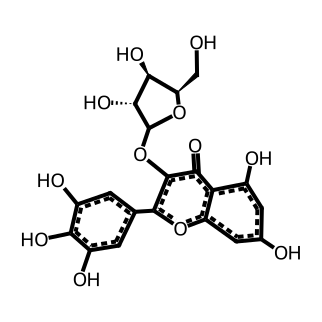 O=c1c(OC2O[C@H](CO)[C@H](O)[C@H]2O)c(-c2cc(O)c(O)c(O)c2)oc2cc(O)cc(O)c12